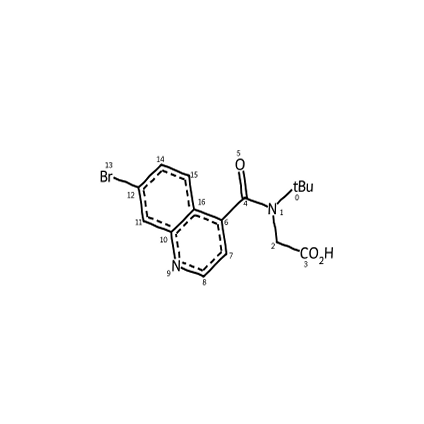 CC(C)(C)N(CC(=O)O)C(=O)c1ccnc2cc(Br)ccc12